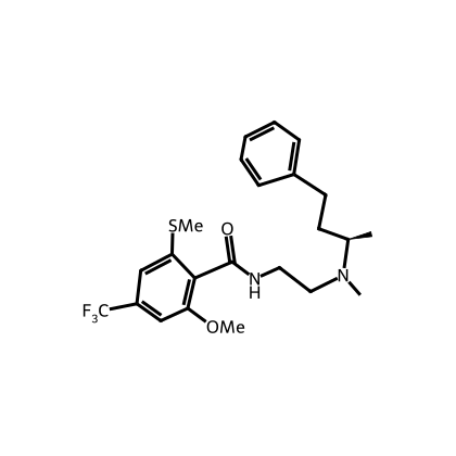 COc1cc(C(F)(F)F)cc(SC)c1C(=O)NCCN(C)[C@H](C)CCc1ccccc1